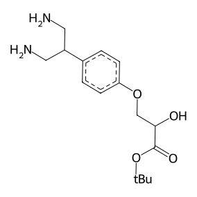 CC(C)(C)OC(=O)C(O)COc1ccc(C(CN)CN)cc1